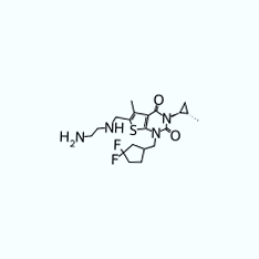 Cc1c(CNCCN)sc2c1c(=O)n([C@H]1C[C@@H]1C)c(=O)n2CC1CCC(F)(F)C1